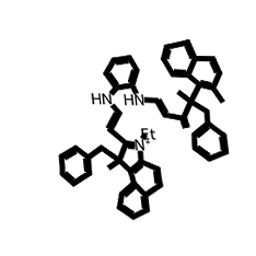 C=C(C=CNc1ccccc1NC=CC1=[N+](CC)c2ccc3ccccc3c2C1(C)Cc1ccccc1)C(C)(Cc1ccccc1)c1c(C)ccc2ccccc12